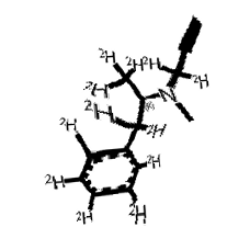 [2H]c1c([2H])c([2H])c(C([2H])([2H])[C@H](N(C)C([2H])([2H])C#C)C([2H])([2H])[2H])c([2H])c1[2H]